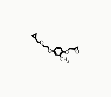 Cc1cc(OCCOCC2CC2)ccc1OCC1CO1